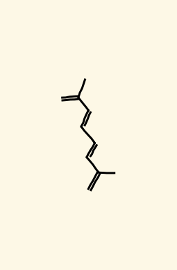 C=C(C)C=CC=CC(=C)C